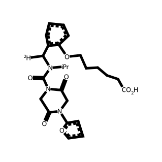 [2H]C(c1ccccc1OCCCCCC(=O)O)N(C(=O)N1CC(=O)N(c2ccco2)CC1=O)C(C)C